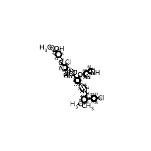 COC[C@]1(O)CC[C@@H](COc2ncc(S(=O)(=O)NC(=O)c3ccc(N4CCN(CC5=C(c6ccc(Cl)cc6)CC(C)(C)CC5)CC4)cc3Oc3cnc4[nH]ccc4c3)cc2Cl)CC1